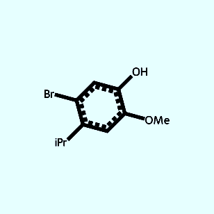 COc1cc(C(C)C)c(Br)cc1O